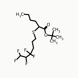 CCCCC(SCCCC(F)(F)C(F)C(F)F)C(=O)OC(C)(C)C